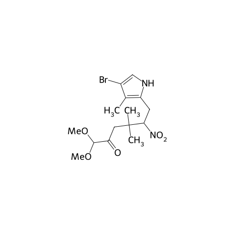 COC(OC)C(=O)CC(C)(C)C(Cc1[nH]cc(Br)c1C)[N+](=O)[O-]